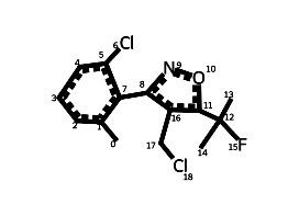 Cc1cccc(Cl)c1-c1noc(C(C)(C)F)c1CCl